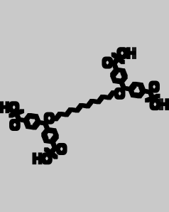 CC(C)(O)C(=O)c1ccc(C(OCCCCCCCCCCCCOC(c2ccc(C(=O)C(C)(C)O)cc2)c2ccc(C(=O)C(C)(C)O)cc2)c2ccc(C(=O)C(C)(C)O)cc2)cc1